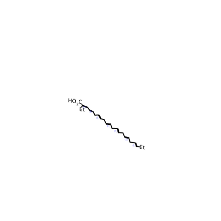 CC/C=C/C/C=C/C/C=C/C/C=C/C/C=C/C/C=C/C=C(\CC)C(=O)O